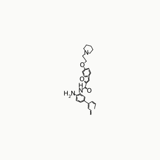 C=C/C=C(\C=C/C)c1ccc(N)c(NC(=O)c2cc3ccc(OCCN4CCCCC4)cc3o2)c1